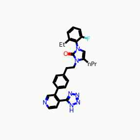 CCCc1cn(-c2c(F)cccc2CC)c(=O)n1CCc1ccc(-c2cnccc2-c2nnn[nH]2)cc1